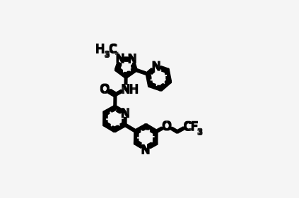 Cn1cc(NC(=O)c2cccc(-c3cncc(OCC(F)(F)F)c3)n2)c(-c2ccccn2)n1